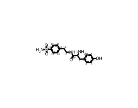 NC(Cc1ccc(O)cc1)C(=O)NCCc1ccc(S(N)(=O)=O)cc1